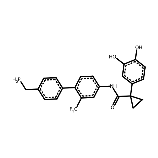 O=C(Nc1ccc(-c2ccc(CP)cc2)c(C(F)(F)F)c1)C1(c2ccc(O)c(O)c2)CC1